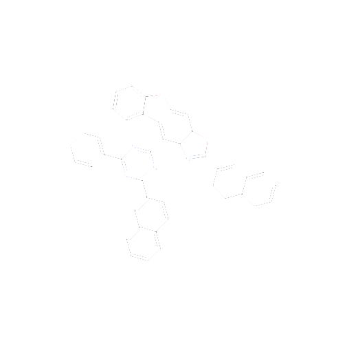 c1ccc(-c2nc(-c3ccc4ccccc4c3)nc(-c3c4nc(-c5ccc6ccccc6c5)oc4cc4oc5ccccc5c34)n2)cc1